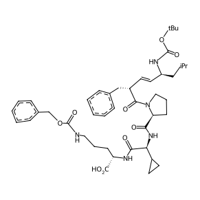 CC(C)C[C@@H](/C=C/[C@@H](Cc1ccccc1)C(=O)N1CCC[C@H]1C(=O)N[C@H](C(=O)N[C@@H](CCCNC(=O)OCc1ccccc1)C(=O)O)C1CC1)NC(=O)OC(C)(C)C